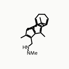 CNNCC1=C(C)c2c(C)c3c4c(c2=C1C=4C)=CCCC=3